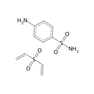 C=CS(=O)(=O)C=C.Nc1ccc(S(N)(=O)=O)cc1